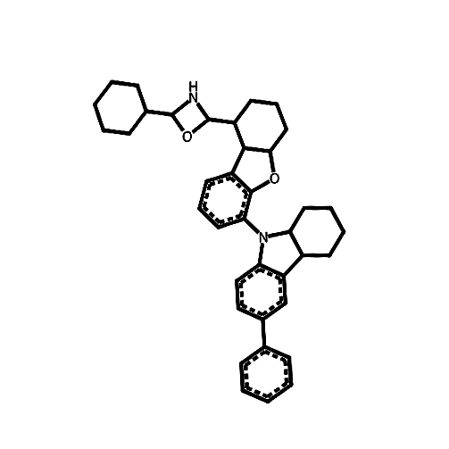 c1ccc(-c2ccc3c(c2)C2CCCCC2N3c2cccc3c2OC2CCCC(C4NC(C5CCCCC5)O4)C32)cc1